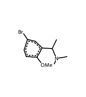 COc1ccc(Br)cc1C(C)N(C)C